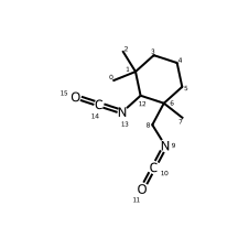 CC1(C)CCCC(C)(CN=C=O)C1N=C=O